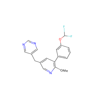 COc1ncc(Cc2cncnc2)cc1-c1cccc(OC(F)F)c1